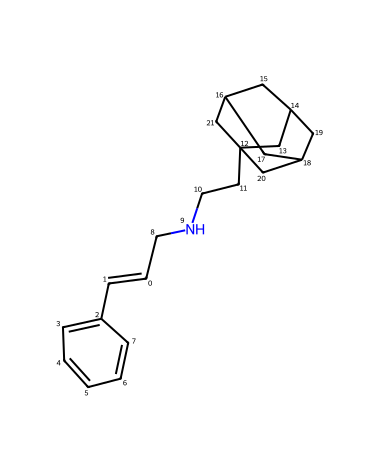 C(=Cc1ccccc1)CNCCC12CC3CC(CC(C3)C1)C2